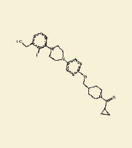 O=C(C1CC1)N1CCC(COc2ncc(N3CCN(c4cccc(CO)c4F)CC3)cn2)CC1